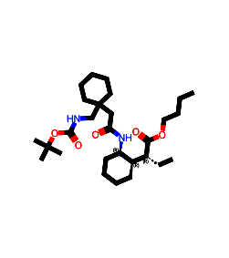 CCCCOC(=O)[C@H](CC)[C@H]1CCCC[C@H]1NC(=O)CC1(CNC(=O)OC(C)(C)C)CCCCC1